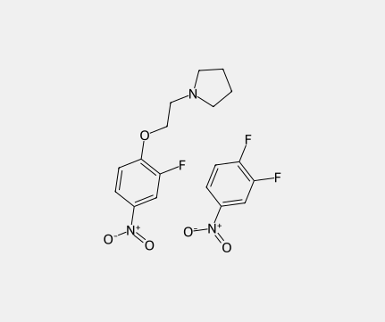 O=[N+]([O-])c1ccc(F)c(F)c1.O=[N+]([O-])c1ccc(OCCN2CCCC2)c(F)c1